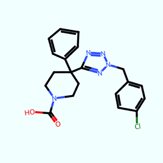 O=C(O)N1CCC(c2ccccc2)(c2nnn(Cc3ccc(Cl)cc3)n2)CC1